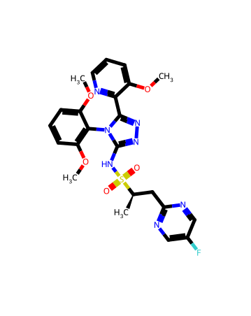 COc1cccnc1-c1nnc(NS(=O)(=O)[C@H](C)Cc2ncc(F)cn2)n1-c1c(OC)cccc1OC